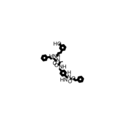 C[C@H](NC(=O)[C@@H](CCc1ccccc1)NCCCc1cccc(O)c1)C(=O)NCc1ccc(C(=N)NC(=O)OCc2ccccc2)cc1